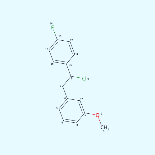 COc1[c]ccc(CC(Cl)c2ccc(F)cc2)c1